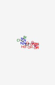 O=P(O)(O)CP(=O)(O)OC[C@H]1O[C@@H](n2cnc3c(Cl)nc(Br)nc32)C(O)C1O